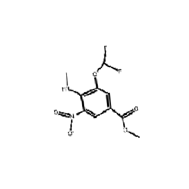 CNc1c(OC(F)F)cc(C(=O)OC)cc1[N+](=O)[O-]